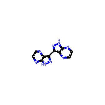 c1cnc2c(-c3n[nH]c4nccnc34)n[nH]c2n1